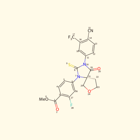 COC(=O)c1ccc(N2C(=S)N(c3ccc(C#N)c(C(F)(F)F)c3)C(=O)[C@]23CCOC3)cc1F